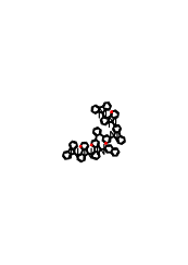 c1cc(-c2ccccc2-c2ccc3c4c(-n5c6ccccc6c6c(-n7c8ccccc8c8ccccc87)cccc65)cccc4n(-c4ccc5ccccc5c4)c3c2)cc(-n2c3ccccc3c3ccc(-n4c5ccccc5c5c(-n6c7ccccc7c7ccccc76)cccc54)cc32)c1